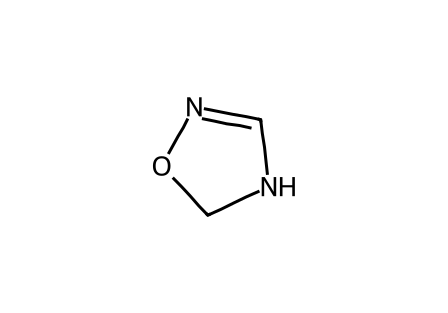 C1=NOCN1